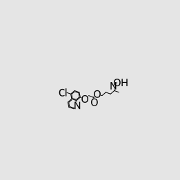 CC(CCCOC(=O)COc1ccc(Cl)c2cccnc12)=NO